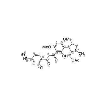 COc1cc(OC)c(C2CCN(C)C2COC(C)=O)c(O)c1C(=O)CC(=O)c1ccc(NC(C)C)cc1Cl